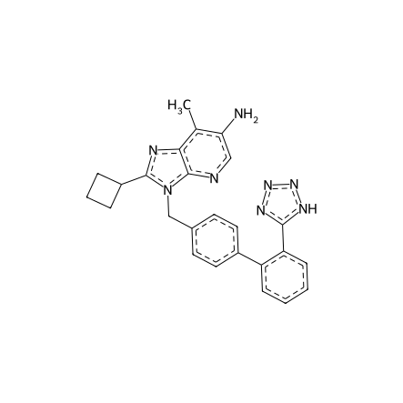 Cc1c(N)cnc2c1nc(C1CCC1)n2Cc1ccc(-c2ccccc2-c2nnn[nH]2)cc1